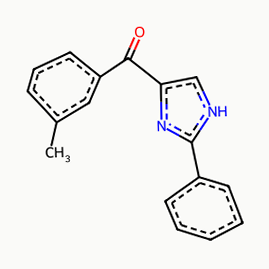 Cc1cccc(C(=O)c2c[nH]c(-c3ccccc3)n2)c1